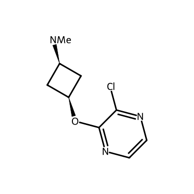 CN[C@H]1C[C@@H](Oc2nccnc2Cl)C1